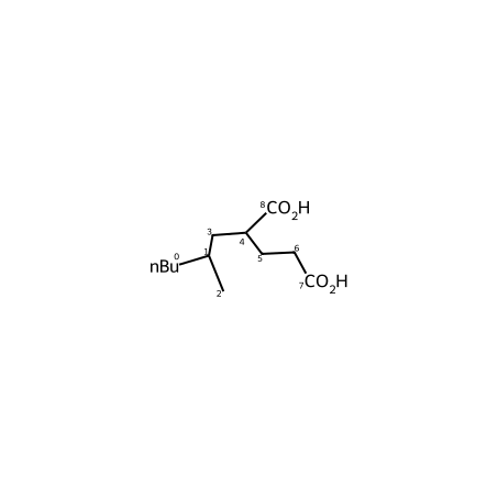 CCCCC(C)CC(CCC(=O)O)C(=O)O